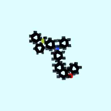 CS(c1ccccc1)(c1ccccc1)c1ccc(N(c2ccccc2)c2ccc(-c3ccc4ccc5oc6ccccc6c5c4c3)cc2)cc1